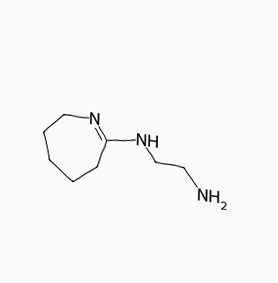 NCCNC1=NCCCCC1